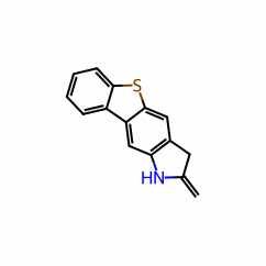 C=C1Cc2cc3sc4ccccc4c3cc2N1